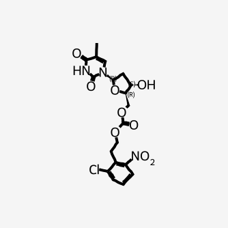 Cc1cn([C@H]2C[C@H](O)[C@@H](COC(=O)OCCc3c(Cl)cccc3[N+](=O)[O-])O2)c(=O)[nH]c1=O